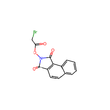 O=C(CBr)ON1C(=O)c2ccc3ccccc3c2C1=O